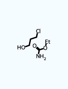 CCOC(N)=O.OCCCCl